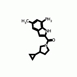 Cc1cc(P)c2[nH]c(C(=O)N3CCC(C4CC4)C3)cc2c1